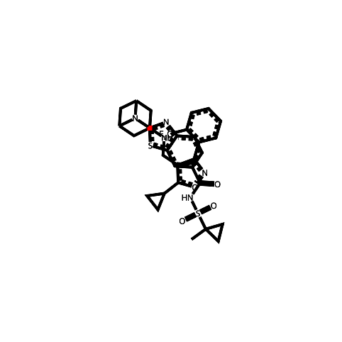 CC1(S(=O)(=O)NC(=O)c2ccc3nc(N4C5CC(NCc6c(-c7ccccc7C(F)(F)F)noc6C6CC6)CC4C5)sc3c2)CC1